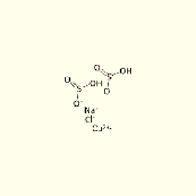 O=S([O-])O.O=S([O-])O.[Cl-].[Cu+2].[Na+]